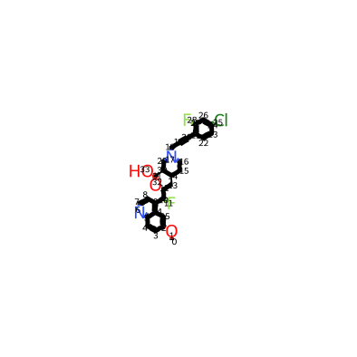 COc1ccc2nccc(C(F)CC[C@@H]3CCN(CC#Cc4ccc(Cl)cc4F)C[C@@H]3C(=O)O)c2c1